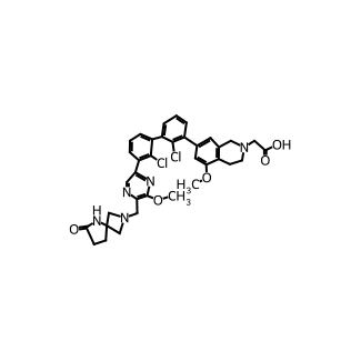 COc1cc(-c2cccc(-c3cccc(-c4cnc(CN5CC6(CCC(=O)N6)C5)c(OC)n4)c3Cl)c2Cl)cc2c1CCN(CC(=O)O)C2